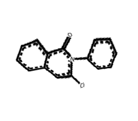 O=c1c2ccccc2cc(Cl)n1-c1ccccc1